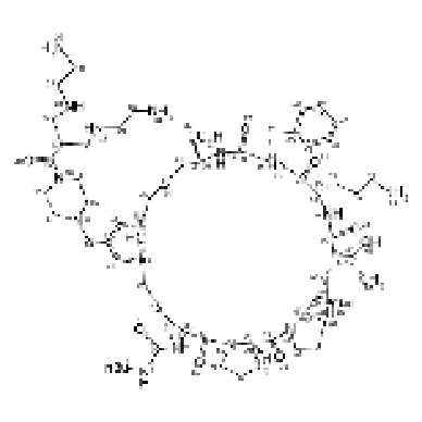 CCCCNC(=O)N[C@H]1CSCc2cc(cc(CN3CCN(C(=O)C(CNCCN)CNCCN)CC3)c2)CSC[C@@H](C(=O)O)NC(=O)[C@H](Cc2ccccc2)NC(=O)[C@H](CCCN)NC(=O)[C@H]([C@@H](C)O)NC(=O)[C@@H]2CCCN2C(=O)[C@@H]2CCCN2C1=O